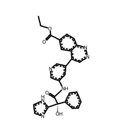 CCOC(=O)c1ccc2nncc(-c3cncc(NC(=O)[C@@](O)(c4ccccc4)c4ncc[nH]4)c3)c2c1